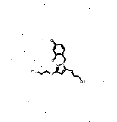 CCCOc1cc(CCCO)n(Cc2ccc(Cl)cc2Cl)n1